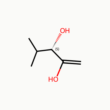 C=C(O)[C@@H](O)C(C)C